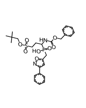 CC(C)(C)COS(=O)(=O)CCC(NC(=O)OCc1ccccc1)P(=O)(O)Cc1cc(-c2ccccc2)no1